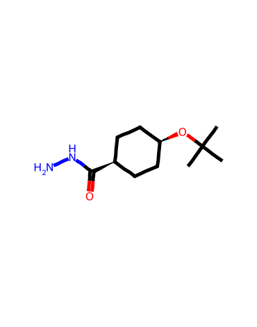 CC(C)(C)O[C@H]1CC[C@@H](C(=O)NN)CC1